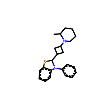 CC1CCCCN1C1CC(C2Sc3ccccc3N2c2ccccc2)C1